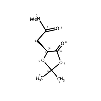 CNC(=O)C[C@@H]1OC(C)(C)OC1=O